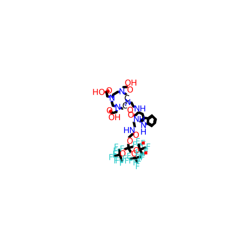 O=C(O)CN1CCN(CC(=O)O)CCN(CC(=O)NC(Cc2c[nH]c3ccccc23)C(=O)NCCNC(=O)COCC(COC(C(F)(F)F)(C(F)(F)F)C(F)(F)F)(COC(C(F)(F)F)(C(F)(F)F)C(F)(F)F)COC(C(F)(F)F)(C(F)(F)F)C(F)(F)F)CCN(CC(=O)O)CC1